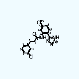 O=C(CCc1cccc(Cl)c1)Nc1cc(Cl)ccc1-c1nnn[nH]1